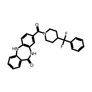 O=C1Nc2cc(C(=O)N3CCC(C(F)(F)c4ccccc4)CC3)ccc2Nc2ccccc21